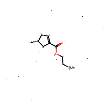 CSCCOC(=O)C1=CC[C@H](C)C1